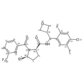 CC[C@@H]1CC[C@H](C(=O)NC(c2cc(F)c(Cl)cc2F)C2COC2)N1C(=O)c1ccnc(C(F)(F)F)n1